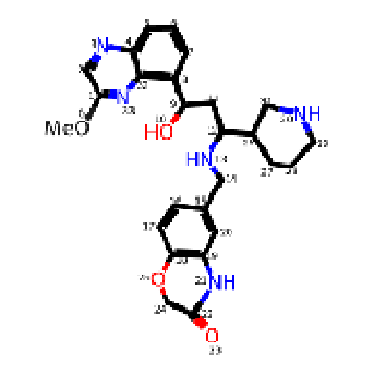 COc1cnc2cccc(C(O)CC(NCc3ccc4c(c3)NC(=O)CO4)C3CCCNC3)c2n1